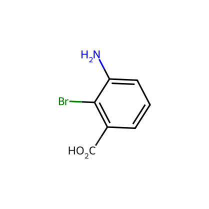 Nc1cccc(C(=O)O)c1Br